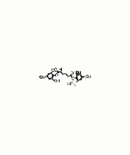 CC(C)(C)c1cc(C(=O)O)c(OC(=O)CCCCC(=O)Oc2c(C(=O)O)cc(C(C)(C)C)cc2C(C)(C)C)c(C(C)(C)C)c1